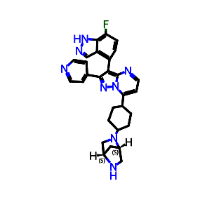 Fc1ccc(-c2c(-c3ccncc3)nn3c(C4CCC(N5C[C@@H]6C[C@H]5CN6)CC4)ccnc23)c2cn[nH]c12